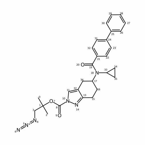 CC(C)(CN=[N+]=[N-])OC(=O)n1cc2c(n1)CCC(N(C(=O)c1ccc(-c3ccccc3)cc1)C1CC1)C2